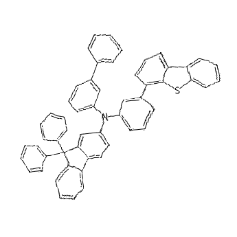 c1ccc(-c2cccc(N(c3cccc(-c4cccc5c4sc4ccccc45)c3)c3ccc4c(c3)C(c3ccccc3)(c3ccccc3)c3ccccc3-4)c2)cc1